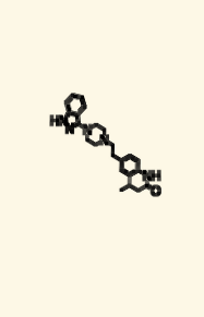 CC1CC(=O)Nc2ccc(CCN3CCN(c4n[nH]c5ccccc45)CC3)cc21